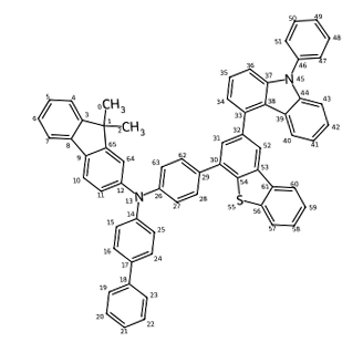 CC1(C)c2ccccc2-c2ccc(N(c3ccc(-c4ccccc4)cc3)c3ccc(-c4cc(-c5cccc6c5c5ccccc5n6-c5ccccc5)cc5c4sc4ccccc45)cc3)cc21